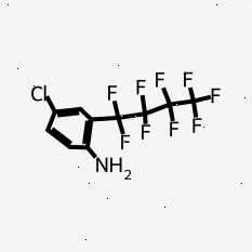 Nc1ccc(Cl)cc1C(F)(F)C(F)(F)C(F)(F)C(F)(F)F